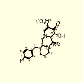 O=C(O)C1=CN2CC3N(Cc4ccc(F)cc4)CCCN3C(=O)C2C(O)C1=O